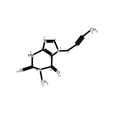 CC#CCn1cnc2[nH]c(=O)n(C)c(=O)c21